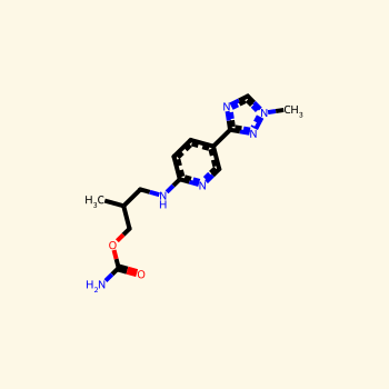 CC(CNc1ccc(-c2ncn(C)n2)cn1)COC(N)=O